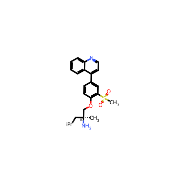 CC(C)C[C@](C)(N)COc1ccc(-c2ccnc3ccccc23)cc1S(C)(=O)=O